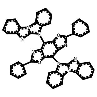 c1ccc(-c2nc3c(-n4c5ccccc5n5c6ccccc6nc45)c4oc(-c5ccccc5)nc4c(-n4c5ccccc5n5c6ccccc6nc45)c3o2)cc1